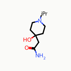 CC(C)N1CCC(O)(CC(N)=O)CC1